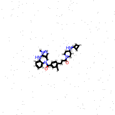 Cc1cc(C(=O)N2Cc3cnn(C)c3Nc3ccccc32)ccc1CCC(=O)N1CCC(NC2CCC2)CC1